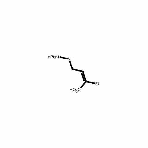 CCCCCNCC=C(CC)C(=O)O